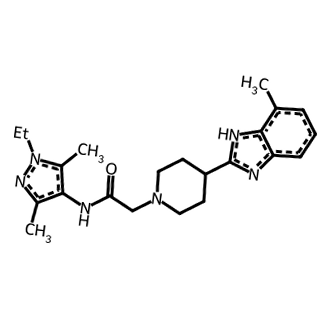 CCn1nc(C)c(NC(=O)CN2CCC(c3nc4cccc(C)c4[nH]3)CC2)c1C